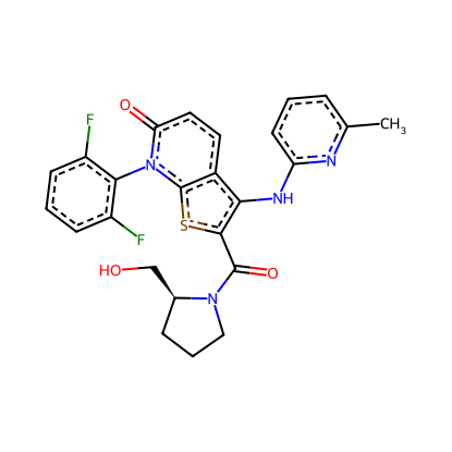 Cc1cccc(Nc2c(C(=O)N3CCC[C@H]3CO)sc3c2ccc(=O)n3-c2c(F)cccc2F)n1